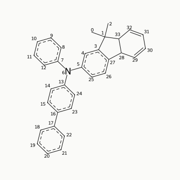 CC1(C)c2cc(N(c3ccccc3)c3ccc(-c4ccccc4)cc3)ccc2C2C=CC=CC21